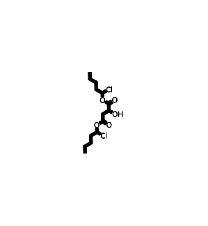 CCCCC(Cl)OC(=O)CC(O)C(=O)OC(Cl)CCCC